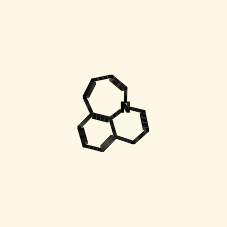 C1=Cc2cccc3c2N(C=C1)C=CC3